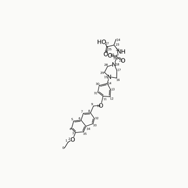 CCOc1ccc2cc(COc3ccc(N4CCN(S(=O)(=O)NC(C)C(=O)O)CC4)cc3)ccc2c1